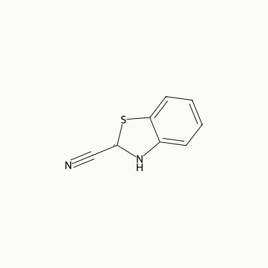 N#C[C]1Nc2ccccc2S1